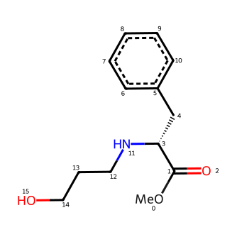 COC(=O)[C@@H](Cc1ccccc1)NCCCO